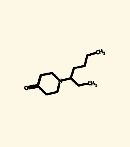 CCCCC(CC)N1CCC(=O)CC1